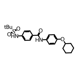 CC(C)(C)S(=O)(=O)Nc1ccc(C(=O)Nc2ccc(OC3CCCCC3)cc2)cc1